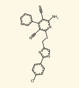 N#Cc1c(N)nc(SCc2csc(-c3ccc(Cl)cc3)n2)c(C#N)c1-c1cccnc1